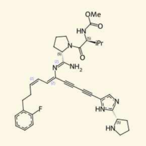 COC(=O)N[C@H](C(=O)N1CCC[C@H]1/C(N)=N/C(C#CC#Cc1cnc([C@@H]2CCCN2)[nH]1)=C\C=C/CCc1ccccc1F)C(C)C